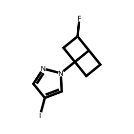 FC1CC2(n3cc(I)cn3)CCC12